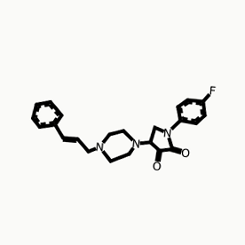 O=C1C(=O)N(c2ccc(F)cc2)CC1N1CCN(CC=Cc2ccccc2)CC1